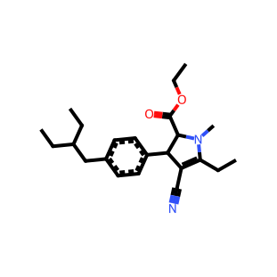 CCOC(=O)C1C(c2ccc(CC(CC)CC)cc2)C(C#N)=C(CC)N1C